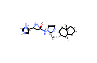 N[C@@H](CC(=O)NN1C=CN([C@H]2CC[C@@H]3CCCC[C@H]3C2)[C@@H]1S(=O)(=O)O)c1cnc[nH]1